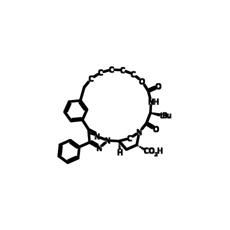 CC(C)(C)[C@@H]1NC(=O)OCCCCCCc2cccc(c2)-c2nn(nc2-c2ccccc2)[C@@H]2C[C@@H](C(=O)O)N(C2)C1=O